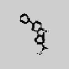 CC(C(=O)O)c1ccc2c(c1)[nH]c1ccc(-c3ccccc3)cc12